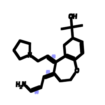 CC(C)(O)C1C=CC2=C(C1)C(=C/CN1CCCC1)/C(=C/C=C\N)CCO2